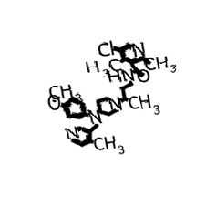 COc1ccc(N(Cc2cnccc2C)C2CCN(C(C)CCNC(=O)c3c(C)ncc(Cl)c3C)CC2)cc1